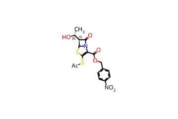 CC(=O)SC1=C(C(=O)OCc2ccc([N+](=O)[O-])cc2)N2C(=O)[C@H]([C@@H](C)O)C2S1